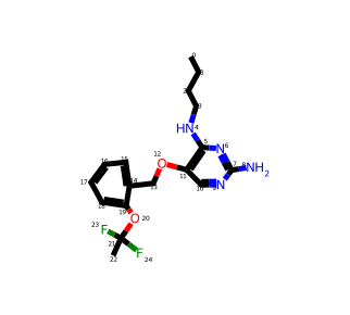 CCCCNc1nc(N)ncc1OCc1ccccc1OC(C)(F)F